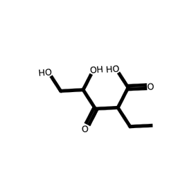 CCC(C(=O)O)C(=O)C(O)CO